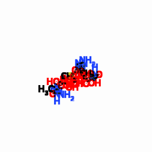 COC[C@H]1[C@@H](O)[C@H](n2c[n+](C)c3c(=O)[nH]c(N)nc32)O[C@@H]1COP(=O)(O)OP(=O)(O)OP(O)(=S)OC[C@H]1O[C@@H](n2cnc3c(N)ncnc32)[C@H](OC)[C@@H]1OP(=O)(O)OC[C@H]1O[C@@H](n2ccc(=O)[nH]c2=O)[C@H](O)[C@@H]1O